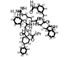 CCCC(=O)N[C@]1(C(=O)N[C@H](Cc2ccccc2)C(=O)N[C@@H](CCCNC(=N)N)C(=O)N[C@@H](Cc2c[nH]c3ccccc23)C(=O)NCc2cccc(C(N)=O)c2)CC[C@H](c2ccccc2)CC1